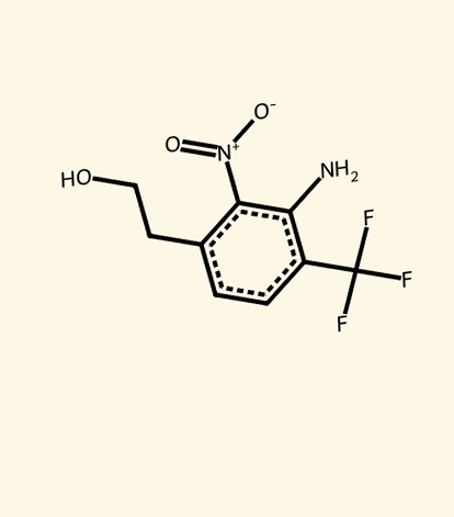 Nc1c(C(F)(F)F)ccc(CCO)c1[N+](=O)[O-]